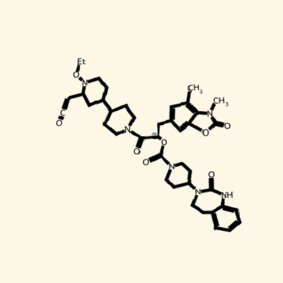 CCON1CCC(C2CCN(C(=O)[C@@H](Cc3cc(C)c4c(c3)oc(=O)n4C)OC(=O)N3CCC(N4CCc5ccccc5NC4=O)CC3)CC2)CC1C=C=O